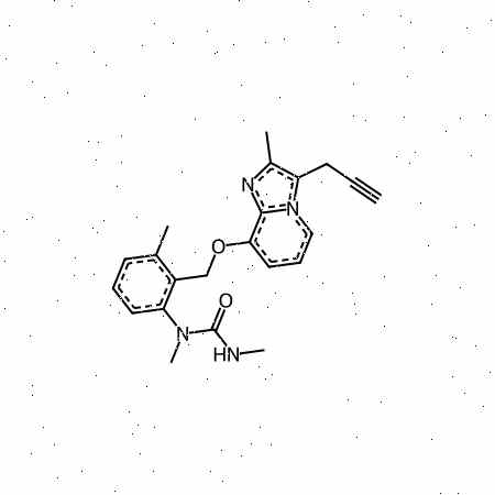 C#CCc1c(C)nc2c(OCc3c(C)cccc3N(C)C(=O)NC)cccn12